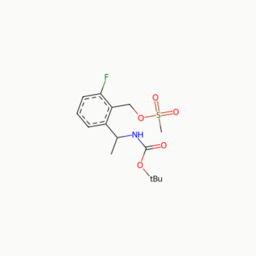 CC(NC(=O)OC(C)(C)C)c1cccc(F)c1COS(C)(=O)=O